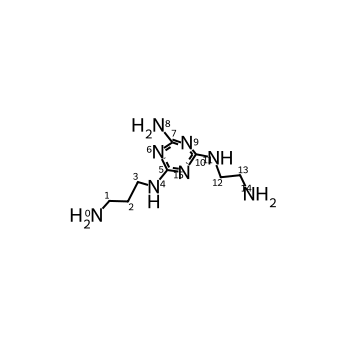 NCCCNc1nc(N)nc(NCCN)n1